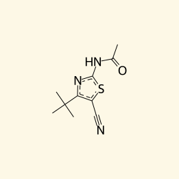 CC(=O)Nc1nc(C(C)(C)C)c(C#N)s1